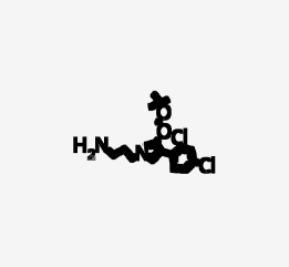 CC(C)(C)OCOc1cn(CCCN)cc1-c1ccc(Cl)cc1Cl